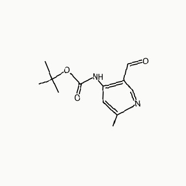 Cc1cc(NC(=O)OC(C)(C)C)c(C=O)cn1